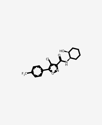 O=C(N[C@@H]1CCCC[C@@H]1O)c1noc(-c2ccc(C(F)(F)F)cc2)c1Cl